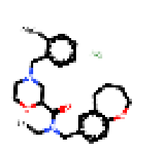 COc1ccccc1CN1CCOC(C(=O)N(Cc2ccc3c(c2)CCCCO3)CC(C)C)C1.Cl